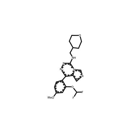 COc1ccc(-c2nnc(NCC3CCOCC3)n3cncc23)c(OC(F)F)c1